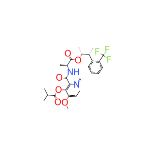 C=N/C(C(=O)N[C@@H](C)C(=O)O[C@H](C)[C@H](C)c1ccccc1C(F)(F)F)=C(OC(=O)C(C)C)\C(=C/C)OC